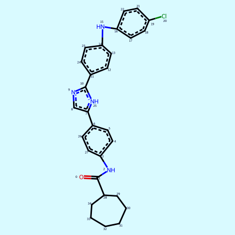 O=C(Nc1ccc(-c2cnc(-c3ccc(Nc4ccc(Cl)cc4)cc3)[nH]2)cc1)C1CCCCCC1